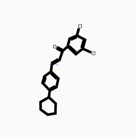 O=C(/C=C/c1ccc(C2CCCCC2)cc1)c1cc(Cl)cc(Cl)c1